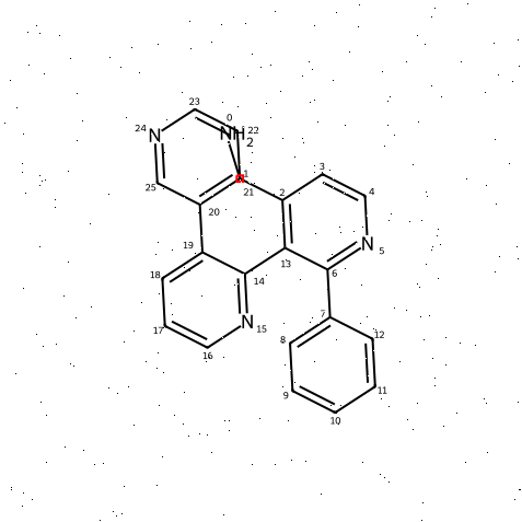 NCc1ccnc(-c2ccccc2)c1-c1ncccc1-c1cccnc1